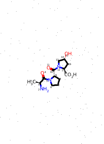 C[C@H](N)C(=O)N1CCC[C@H]1C(=O)N1C[C@H](O)C[C@H]1C(=O)O